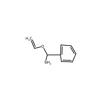 C=COC([SiH3])c1ccccc1